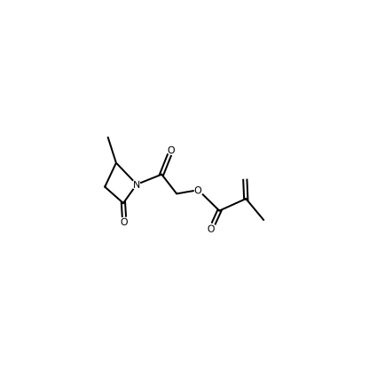 C=C(C)C(=O)OCC(=O)N1C(=O)CC1C